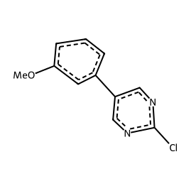 COc1cccc(-c2cnc(Cl)nc2)c1